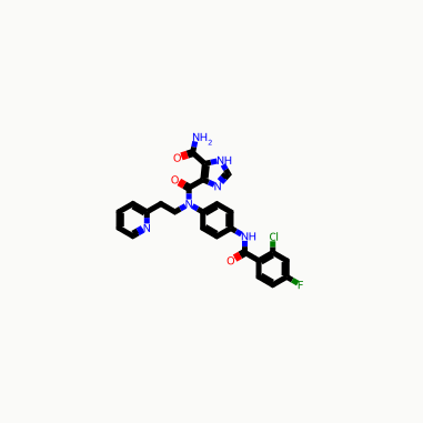 NC(=O)c1[nH]cnc1C(=O)N(CCc1ccccn1)c1ccc(NC(=O)c2ccc(F)cc2Cl)cc1